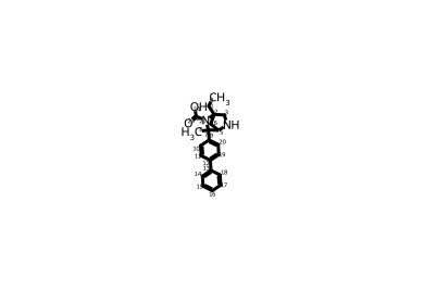 CCC12CNC(C1)C(C)(c1ccc(-c3ccccc3)cc1)N2C(=O)O